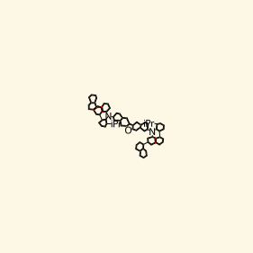 CC(C)c1cccc(-c2ccccc2)c1N(c1cccc(-c2cccc3ccccc23)c1)c1ccc2cc3c(cc2c1)oc1cc2cc(N(c4cccc(-c5cccc6ccccc56)c4)c4c(-c5ccccc5)cccc4C(C)C)ccc2cc13